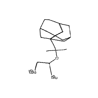 CC(C)(C)CC(OC(C)(C)C12CC3CC(CC(C3)C1)C2)C(C)(C)C